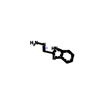 N/N=C/c1nc2ccccc2[nH]1